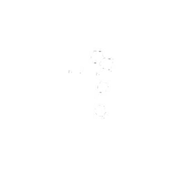 Cc1ccc(Oc2ccc(Nc3ncnc4cccc(OC[C@H]5CCCN5)c34)cc2Cl)cn1